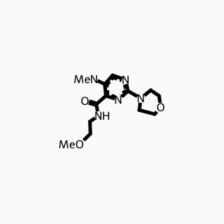 CNc1cnc(N2CCOCC2)nc1C(=O)NCCOC